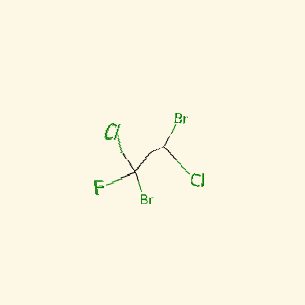 FC(Cl)(Br)C(Cl)Br